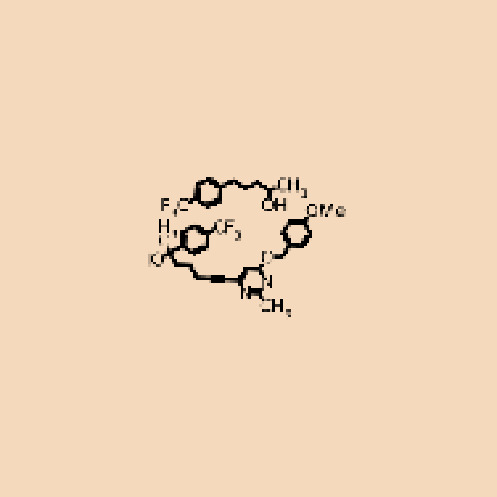 CC(O)CCCc1ccc(C(F)(F)F)cc1.COc1ccc(COc2cc(C#CCCCC(C)(O)c3ccc(C(F)(F)F)cc3)nc(C)n2)cc1